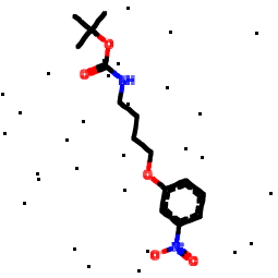 CC(C)(C)OC(=O)NCCCCOc1cccc([N+](=O)[O-])c1